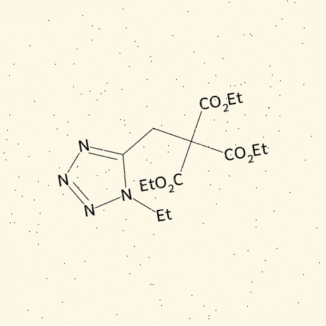 CCOC(=O)C(Cc1nnnn1CC)(C(=O)OCC)C(=O)OCC